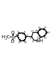 CS(=O)(=O)c1ccc(C2CNc3ccccc3C2)cc1